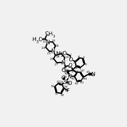 CCOc1ccccc1C1(OC(=O)N2CCC(N3CCN(C(C)C)CC3)CC2)C(=O)N(S(=O)(=O)c2ccccc2F)c2ccc(C#N)cc21